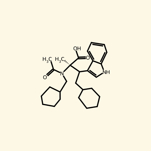 CC(=O)N(CC1CCCCC1)[C@@](C)(C(=O)O)C(CC1CCCCC1)c1c[nH]c2ccccc12